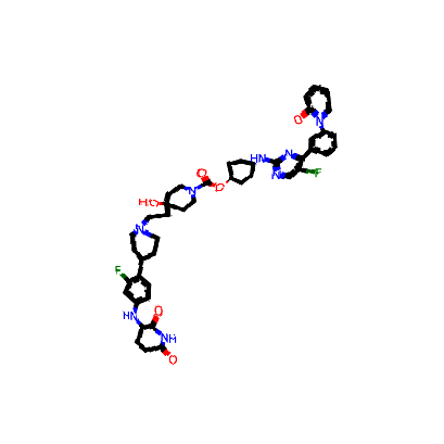 O=C1CCC(Nc2ccc(C3CCN(CCC4(O)CCN(C(=O)O[C@H]5CC[C@H](Nc6ncc(F)c(-c7cccc(-n8ccccc8=O)c7)n6)CC5)CC4)CC3)c(F)c2)C(=O)N1